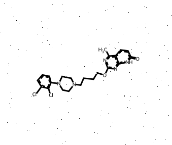 Cc1nc(OCCCCN2CCN(c3cccc(Cl)c3Cl)CC2)nc2[nH]c(=O)ccc12